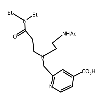 CCN(CC)C(=O)CCN(CCNC(C)=O)Cc1cc(C(=O)O)ccn1